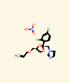 C=CCOC[C@@H]1CO[C@@](Cn2ccnc2)(c2ccc(Cl)cc2Cl)O1.O=[N+]([O-])O